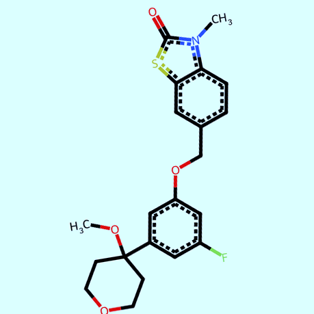 COC1(c2cc(F)cc(OCc3ccc4c(c3)sc(=O)n4C)c2)CCOCC1